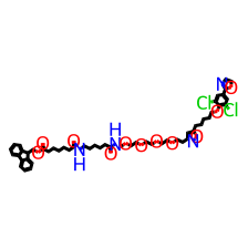 O=C(CCCCCC(=O)OCC1c2ccccc2-c2ccccc21)NCCCCCC(=O)NCOCCOCCOCCOCCc1cc(CCCCCOc2c(Cl)cc(C3=NCCO3)cc2Cl)on1